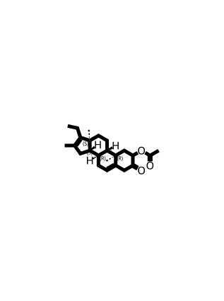 CCC1=C(C)C[C@H]2[C@@H]3CC=C4CC(=O)C(OC(C)=O)C[C@]4(C)[C@H]3CC[C@]12C